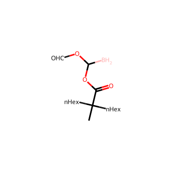 BC(OC=O)OC(=O)C(C)(CCCCCC)CCCCCC